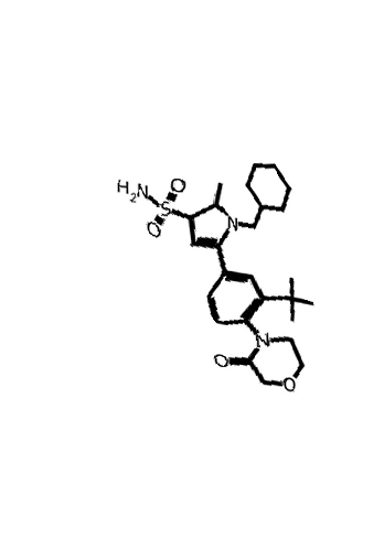 CC1C(S(N)(=O)=O)C=C(c2ccc(N3CCOCC3=O)c(C(C)(C)C)c2)N1CC1CCCCC1